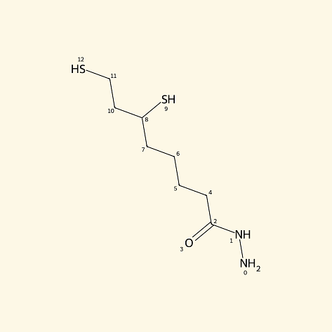 NNC(=O)CCCCC(S)CCS